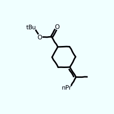 CCCC(C)=C1CCC(C(=O)OC(C)(C)C)CC1